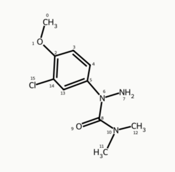 COc1ccc(N(N)C(=O)N(C)C)cc1Cl